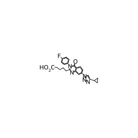 O=C(O)CCCCc1nc2cc(-n3cc(C4CC4)nn3)ccc2c(=O)n1-c1ccc(F)cc1